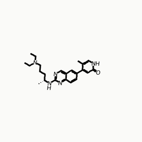 CCN(CC)CCC[C@@H](C)Nc1ncc2cc(-c3cc(=O)[nH]cc3C)ccc2n1